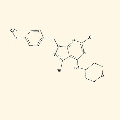 COc1ccc(Cn2nc(Br)c3c(NC4CCOCC4)nc(Cl)nc32)cc1